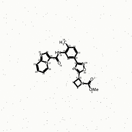 COC(=O)N1CC[C@H]1c1nc(-c2ccc(C)c(NC(=O)c3cnc4ccccn34)c2)no1